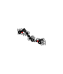 O=C(COc1cccc(C(O)(C(=O)O)c2ccccc2)c1)NC1CC(NC(=O)c2ccc(CNCC(O)c3ccc(O)c4[nH]c(=O)ccc34)c(F)c2F)C1